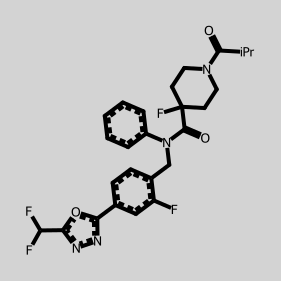 CC(C)C(=O)N1CCC(F)(C(=O)N(Cc2ccc(-c3nnc(C(F)F)o3)cc2F)c2ccccc2)CC1